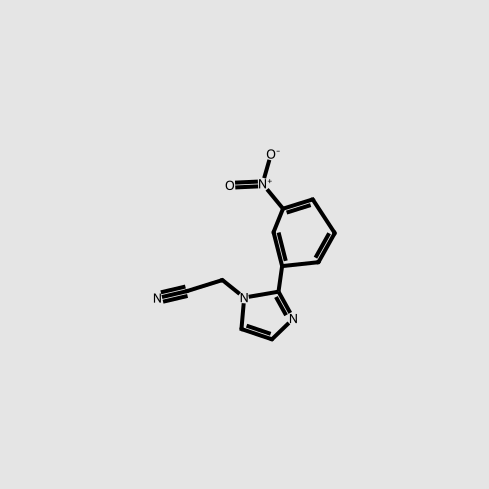 N#CCn1ccnc1-c1cccc([N+](=O)[O-])c1